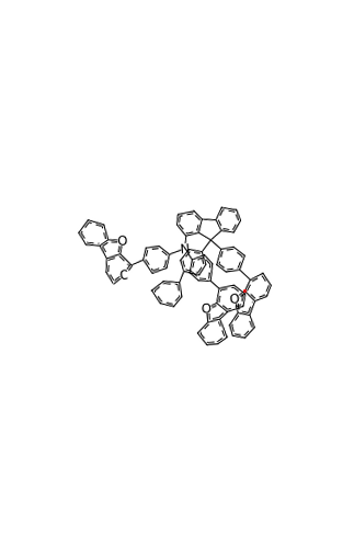 c1ccc(-c2ccc(C3(c4ccc(-c5cccc6c5oc5ccccc56)cc4)c4ccccc4-c4cccc(N(c5ccc(-c6cccc7c6oc6ccccc67)cc5)c5ccc(-c6cccc7c6oc6ccccc67)cc5)c43)cc2)cc1